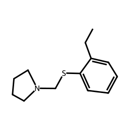 CCc1ccccc1SCN1CCCC1